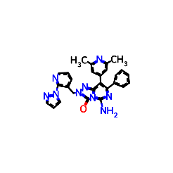 Cc1cc(-c2c(-c3ccccc3)nc(N)n3c(=O)n(Cc4cccnc4-n4cccn4)nc23)cc(C)n1